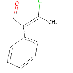 C/C(Cl)=C(/C=O)c1ccccc1